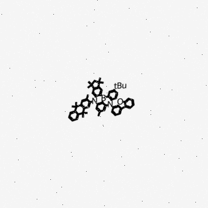 Cc1cc2c3c(c1)N(c1cccc4c1oc1ccccc14)c1ccc(C(C)(C)C)cc1B3c1cc3c(cc1N2c1cc2c(cc1C)C(C)(C)c1ccccc1C2(C)C)C(C)(C)CC3(C)C